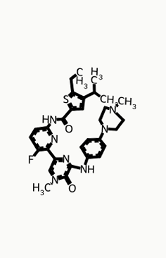 CCc1sc(C(=O)Nc2ccc(F)c(-c3cn(C)c(=O)c(Nc4ccc(N5CCN(C)CC5)cc4)n3)n2)cc1C(C)C